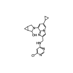 OC1C2CC2CN1c1cc(C2CC2)cn2cc(CNc3cc(Cl)ncn3)nc12